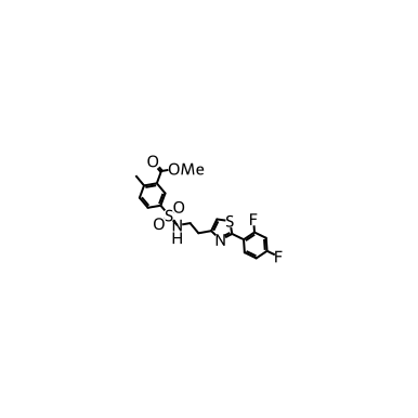 COC(=O)c1cc(S(=O)(=O)NCCc2csc(-c3ccc(F)cc3F)n2)ccc1C